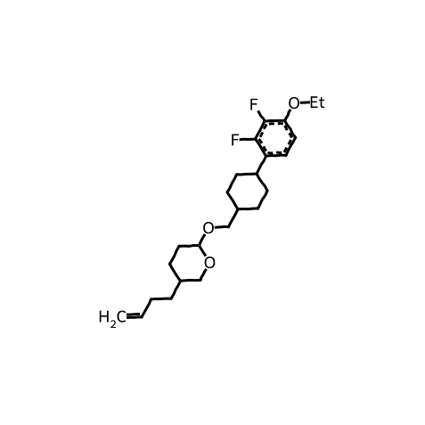 C=CCCC1CCC(OCC2CCC(c3ccc(OCC)c(F)c3F)CC2)OC1